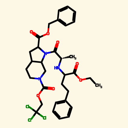 CCOC(=O)C(CCc1ccccc1)N[C@@H](C)C(=O)N1C(C(=O)OCc2ccccc2)CC2CCN(C(=O)OCC(Cl)(Cl)Cl)CC21